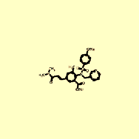 COC(=O)c1cc(C=CC(=O)N(C)C)cc(C)c1N(Cc1cccnc1)S(=O)(=O)c1ccc(OC)cc1